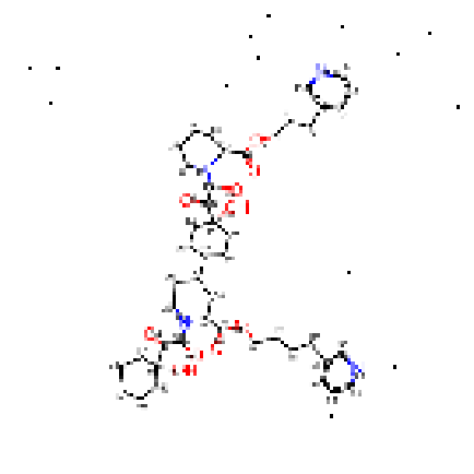 O=C(OCCCc1cccnc1)C1CCCCN1C(=O)C(=O)C1(O)CCC(C2CCN(C(=O)C(=O)C3(O)CCCCC3)C(C(=O)OCCCCc3cccnc3)C2)CC1